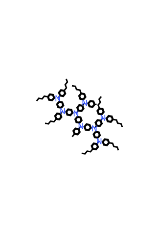 CCCCc1ccc(N(c2ccc(C)cc2)c2ccc(N(c3ccc(N(c4ccc(C)cc4)c4ccc(N(c5ccc(N(c6ccc(CCCC)cc6)c6ccc(CCCC)cc6)cc5)c5ccc(N(c6ccc(CCCC)cc6)c6ccc(CCCC)cc6)cc5)cc4)cc3)c3ccc(N(c4ccc(CCCC)cc4)c4ccc(N(c5ccc(CCCC)cc5)c5ccc(CCCC)cc5)cc4)cc3)cc2)cc1